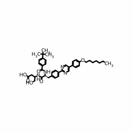 CCCCCCCOc1ccc(-c2cnc(-c3ccc(C[C@H](NC(=O)c4ccc(C(C)(C)C)cc4)C(=O)NC(CO)CC(=O)O)cc3)nc2)cc1